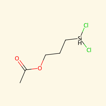 CC(=O)OCCC[SiH](Cl)Cl